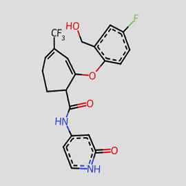 O=C(Nc1cc[nH]c(=O)c1)C1CCC=C(C(F)(F)F)C=C1Oc1ccc(F)cc1CO